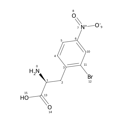 N[C@@H](Cc1ccc([N+](=O)[O-])cc1Br)C(=O)O